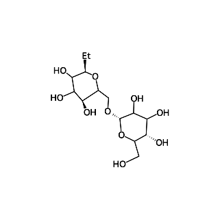 CC[C@H]1OC(CO[C@H]2OC(CO)[C@@H](O)C(O)C2O)[C@@H](O)C(O)C1O